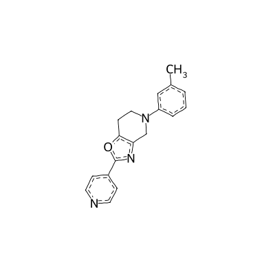 Cc1cccc(N2CCc3oc(-c4ccncc4)nc3C2)c1